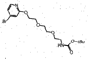 CC(C)(C)OC(=O)NCCOCCOCCOc1cc(Br)ccn1